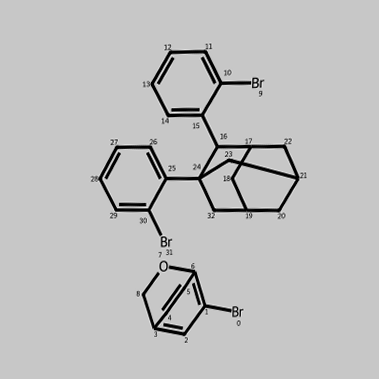 Brc1cc2ccc1OC2.Brc1ccccc1C1C2CC3CC(C2)CC1(c1ccccc1Br)C3